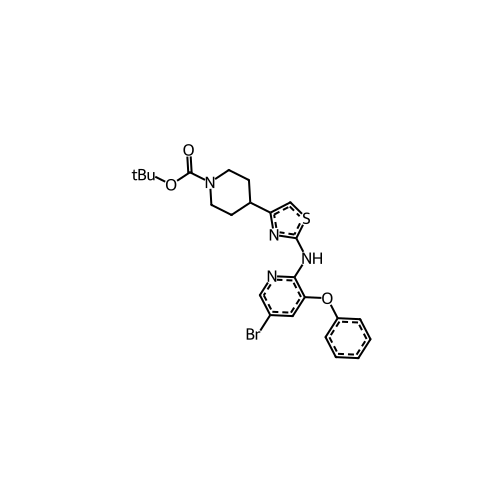 CC(C)(C)OC(=O)N1CCC(c2csc(Nc3ncc(Br)cc3Oc3ccccc3)n2)CC1